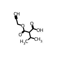 C#CCOC(=O)C(C(=O)O)C(C)C